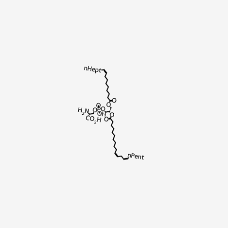 CCCCC/C=C\C/C=C\CCCCCCCCCC(=O)O[C@H](COC(=O)CCCCCCC/C=C\CCCCCCC)COP(=O)(O)OC[C@H](N)C(=O)O